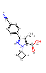 Cc1c(-c2ccc(C#N)cc2)nn(C2CCC2)c1C(=O)O